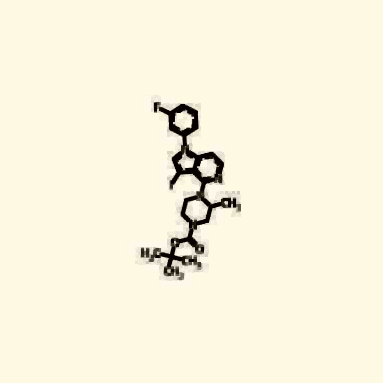 CC1CN(C(=O)OC(C)(C)C)CCN1c1nccc2c1c(I)cn2-c1cccc(F)c1